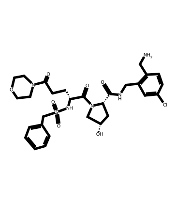 NCc1ccc(Cl)cc1CNC(=O)[C@@H]1C[C@H](O)CN1C(=O)[C@@H](CCC(=O)N1CCOCC1)NS(=O)(=O)Cc1ccccc1